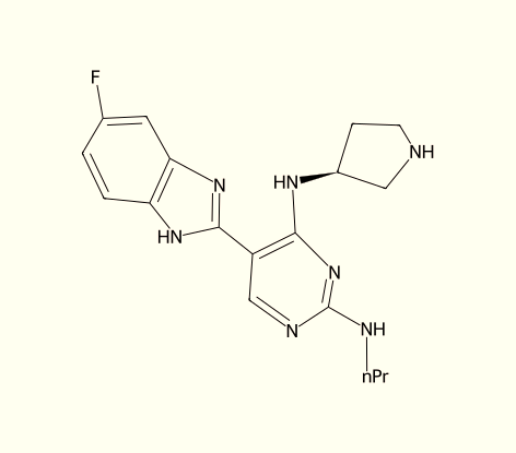 CCCNc1ncc(-c2nc3cc(F)ccc3[nH]2)c(N[C@H]2CCNC2)n1